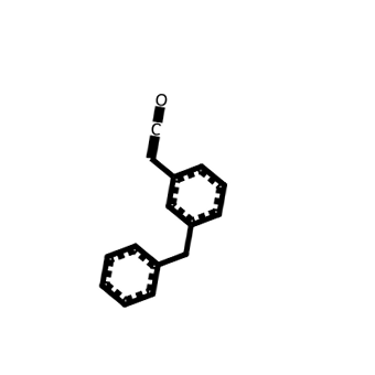 O=C=Cc1cccc(Cc2ccccc2)c1